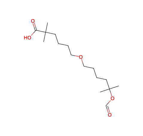 CC(C)(CCCCOCCCCC(C)(C)C(=O)O)OC=O